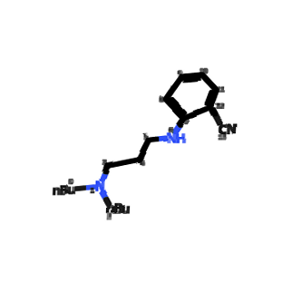 CCCCN(CCCC)CCCNc1ccccc1C#N